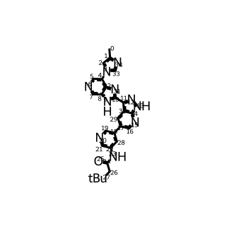 Cc1cn(-c2cncc3[nH]c(-c4n[nH]c5ncc(-c6cncc(NC(=O)CC(C)(C)C)c6)cc45)nc23)cn1